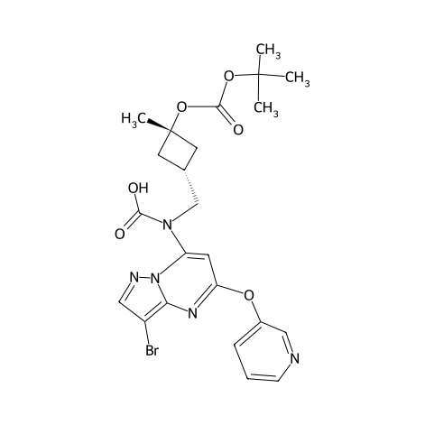 CC(C)(C)OC(=O)O[C@]1(C)C[C@H](CN(C(=O)O)c2cc(Oc3cccnc3)nc3c(Br)cnn23)C1